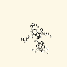 C=CCc1cc(OC)cc2c(C(C)=O)nn(CC(=O)OC(C)(C)C)c12